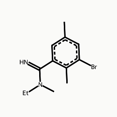 CCN(C)C(=N)c1cc(C)cc(Br)c1C